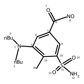 CCCCN(CCCC)c1cc(C(=O)N=O)cc(S(N)(=O)=O)c1C